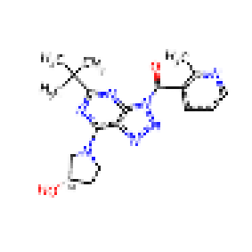 Cc1ncccc1C(=O)n1nnc2c(N3CC[C@H](O)C3)nc(C(C)(C)C)nc21